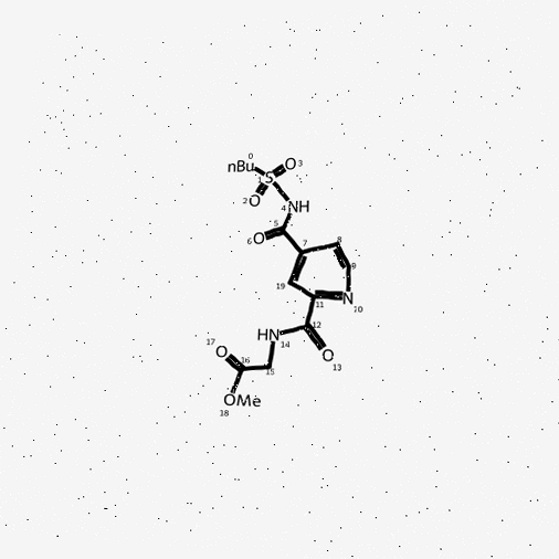 CCCCS(=O)(=O)NC(=O)c1ccnc(C(=O)NCC(=O)OC)c1